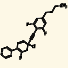 CCCCc1cc(F)c(C#CC2(Cl)C=CC(c3ccccc3)=C(F)C2)c(F)c1